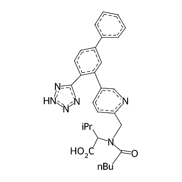 CCCCC(=O)N(Cc1ccc(-c2cc(-c3ccccc3)ccc2-c2nn[nH]n2)cn1)C(C(=O)O)C(C)C